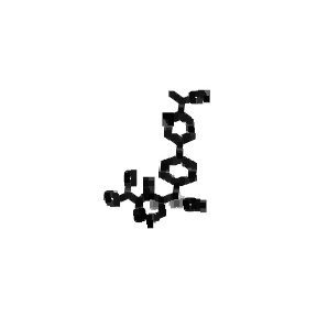 CC(C#N)c1ccc(-c2ccc([C@H](O)[C@@H](CF)NC(=O)C(Cl)Cl)cc2)cn1